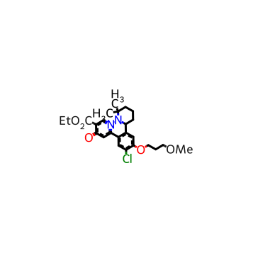 CCOC(=O)c1cn2c(cc1=O)-c1cc(Cl)c(OCCCOC)cc1C1CCCC(C)(C)N12